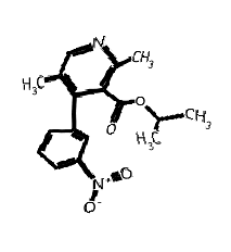 Cc1cnc(C)c(C(=O)OC(C)C)c1-c1cccc([N+](=O)[O-])c1